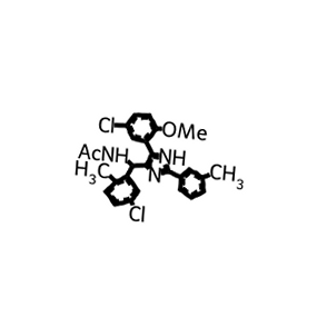 COc1ccc(Cl)cc1-c1[nH]c(-c2cccc(C)c2)nc1C(NC(C)=O)c1cc(Cl)ccc1C